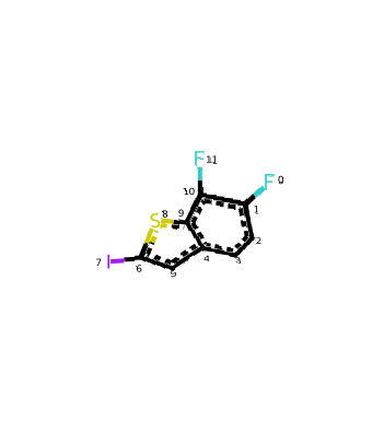 Fc1ccc2cc(I)sc2c1F